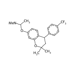 CNC(C)Oc1ccc2c(c1)OC(C)(C)CC2c1ccc(C(F)(F)F)cc1